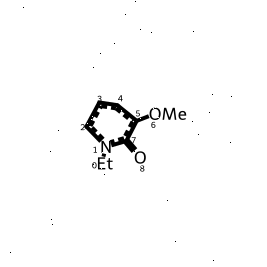 CCn1cccc(OC)c1=O